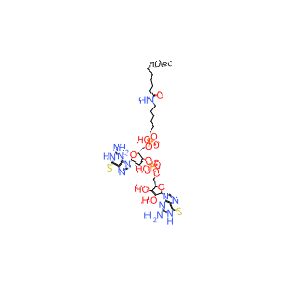 CCCCCCCCCCCCCCCC(=O)NCCCCCCOP(=O)(O)OC[C@H]1O[C@@H](n2cnc3c(=S)[nH]c(N)nc32)CC1OP(=O)(O)OC[C@H]1O[C@@H](n2cnc3c(=S)[nH]c(N)nc32)C(O)C1O